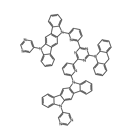 c1cc(-c2nc(B3c4ccccc4Cc4ccccc43)nc(-c3cccc(-n4c5ccccc5c5cc6c(cc54)c4ccccc4n6-c4cncnc4)n3)n2)nc(-n2c3ccccc3c3cc4c(cc32)c2ccccc2n4-c2cncnc2)c1